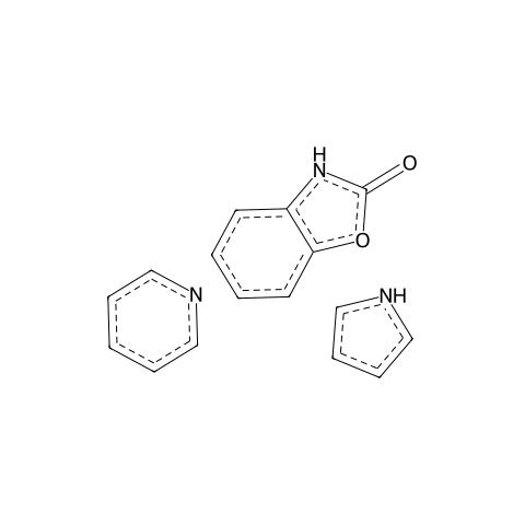 O=c1[nH]c2ccccc2o1.c1cc[nH]c1.c1ccncc1